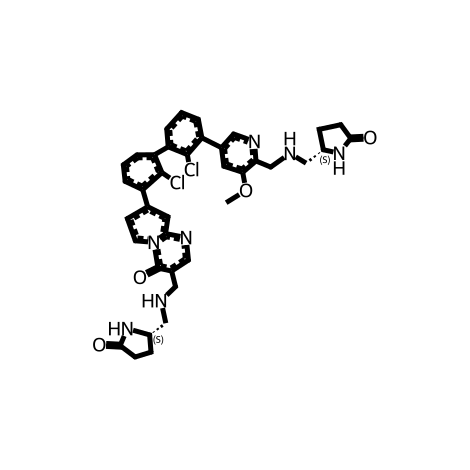 COc1cc(-c2cccc(-c3cccc(-c4ccn5c(=O)c(CNC[C@@H]6CCC(=O)N6)cnc5c4)c3Cl)c2Cl)cnc1CNC[C@@H]1CCC(=O)N1